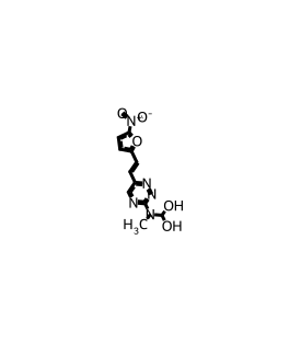 CN(c1ncc(C=Cc2ccc([N+](=O)[O-])o2)nn1)C(O)O